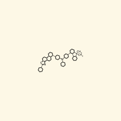 CC1(C)c2ccccc2-c2c(-c3ccc(N(c4ccccc4)c4ccc(-c5cccc6c5ccc5c6ccc6sc(-c7ccccc7)nc65)cc4)cc3)cccc21